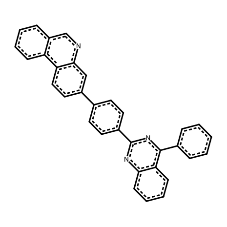 c1ccc(-c2nc(-c3ccc(-c4ccc5c(c4)ncc4ccccc45)cc3)nc3ccccc23)cc1